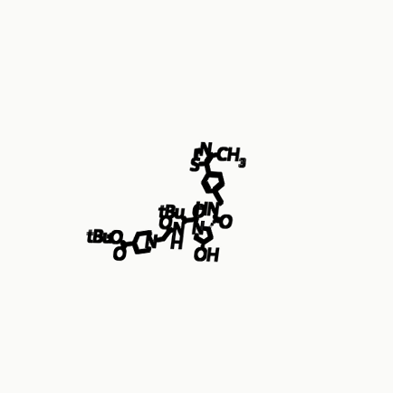 Cc1ncsc1-c1ccc(CNC(=O)[C@@H]2C[C@@H](O)CN2C(=O)C(NC(=O)CN2CCC(C(=O)OC(C)(C)C)CC2)C(C)(C)C)cc1